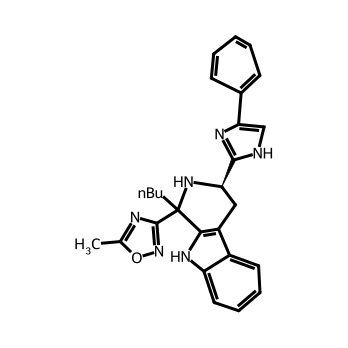 CCCCC1(c2noc(C)n2)N[C@@H](c2nc(-c3ccccc3)c[nH]2)Cc2c1[nH]c1ccccc21